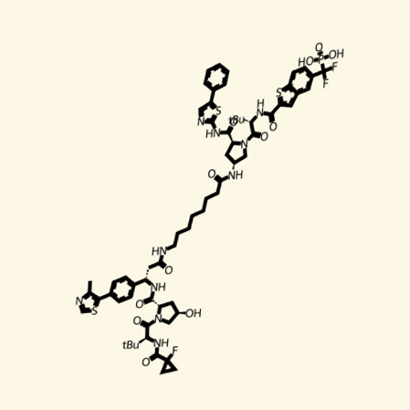 Cc1ncsc1-c1ccc([C@H](CC(=O)NCCCCCCCC(=O)N[C@@H]2C[C@@H](C(=O)Nc3ncc(-c4ccccc4)s3)N(C(=O)[C@@H](NC(=O)c3cc4cc(C(F)(F)P(=O)(O)O)ccc4s3)C(C)(C)C)C2)NC(=O)[C@@H]2C[C@@H](O)CN2C(=O)[C@@H](NC(=O)C2(F)CC2)C(C)(C)C)cc1